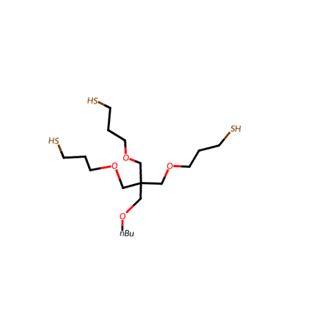 CCCCOCC(COCCCS)(COCCCS)COCCCS